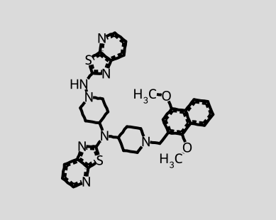 COc1cc(CN2CCC(N(c3nc4cccnc4s3)C3CCN(Nc4nc5cccnc5s4)CC3)CC2)c(OC)c2ccccc12